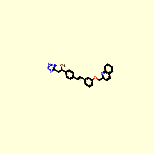 CC(Cc1nnn[nH]1)c1ccc(/C=C/c2cccc(OCc3ccc4ccccc4n3)c2)cc1